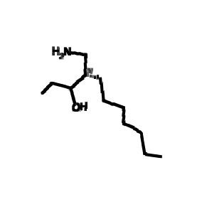 CCCCCCC[C@@H](CN)C(O)CC